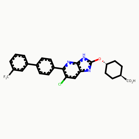 O=C(O)[C@H]1CC[C@H](Oc2nc3cc(Cl)c(-c4ccc(-c5cccc(C(F)(F)F)c5)cc4)nc3[nH]2)CC1